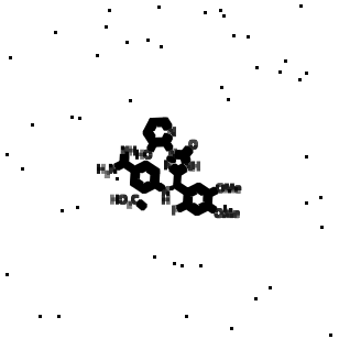 CC(=O)O.COc1cc(F)c([C@H](Nc2ccc(C(=N)N)cc2)c2nn(-c3ncccc3O)c(=O)[nH]2)cc1OC